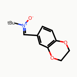 CC(C)(C)[N+]([O-])=Cc1ccc2c(c1)OCCO2